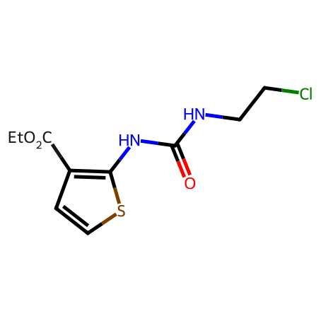 CCOC(=O)c1ccsc1NC(=O)NCCCl